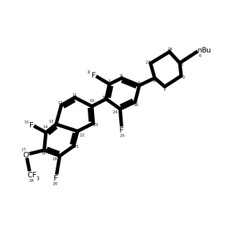 CCCCC1CCC(c2cc(F)c(-c3ccc4c(F)c(OC(F)(F)F)c(F)cc4c3)c(F)c2)CC1